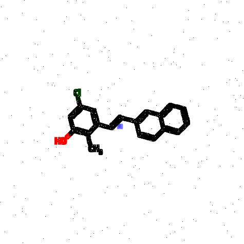 Cc1c(O)cc(Cl)cc1/C=C/c1ccc2ccccc2c1